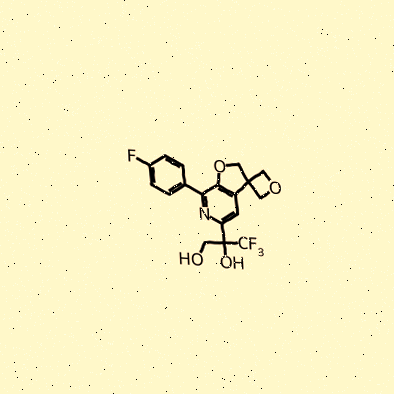 OCC(O)(c1cc2c(c(-c3ccc(F)cc3)n1)OCC21COC1)C(F)(F)F